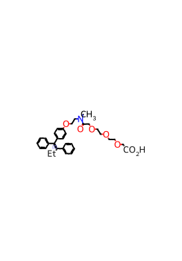 CC/C(=C(\c1ccccc1)c1ccc(OCCN(C)C(=O)COCCOCCOCC(=O)O)cc1)c1ccccc1